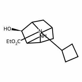 CCOC(=O)N1C2CC3CC1[C@H](O)C2NC3C1CCC1